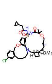 CO[C@H]1/C=C/COC(C)(C)C(=O)N=[S@](=O)(NC(=O)CC2CC2)c2ccc3c(c2)N(CCCCc2cc(Cl)ccc2CO3)C[C@@H]2CC[C@H]21